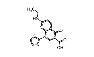 CCNc1ccc2c(=O)c(C(=O)O)cn(-c3nccs3)c2n1